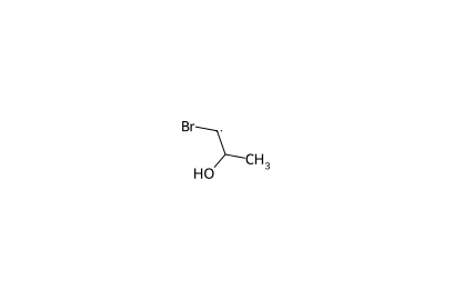 CC(O)[CH]Br